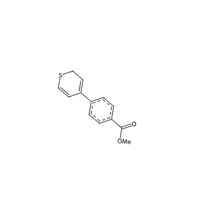 COC(=O)c1ccc(C2=CCSC=C2)cc1